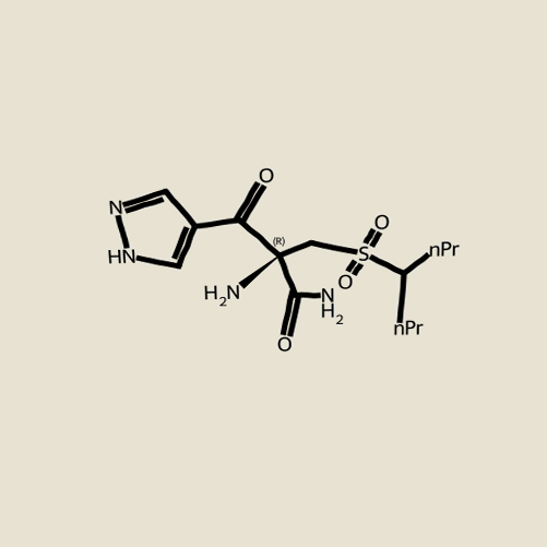 CCCC(CCC)S(=O)(=O)C[C@](N)(C(N)=O)C(=O)c1cn[nH]c1